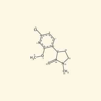 COc1nc(Cl)ccc1C1CCN(C)C1=O